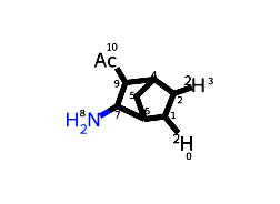 [2H]C1C([2H])C2CC1C(N)C2C(C)=O